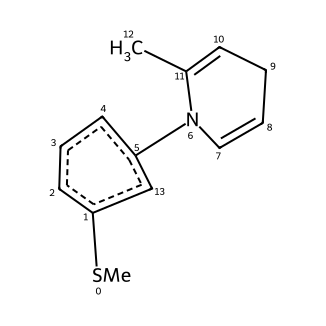 CSc1cccc(N2C=CCC=C2C)c1